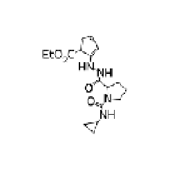 CCOC(=O)c1ccccc1NNC(=O)C1CCCN1C(=O)NC1CC1